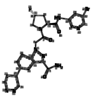 NC(=O)c1nn(CC(=O)N2C[C@H](F)C[C@H]2C(=O)Nc2cncc(Br)c2)c2ccc(-c3ccnnc3)cc12